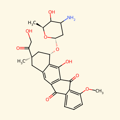 COc1cccc2c1C(=O)c1c(cc3c(c1O)[C@@H](O[C@H]1CC(N)C(O)[C@H](C)O1)C[C@](C)(C(=O)CO)C3)C2=O